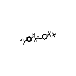 COC(=O)c1ccc(NC(=O)OCC2CCN(C(=O)OC(C)(C)C)CC2)cc1